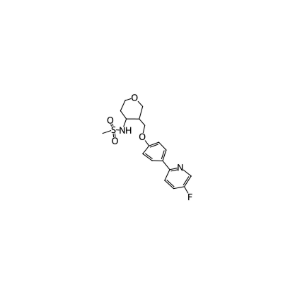 CS(=O)(=O)NC1CCOCC1COc1ccc(-c2ccc(F)cn2)cc1